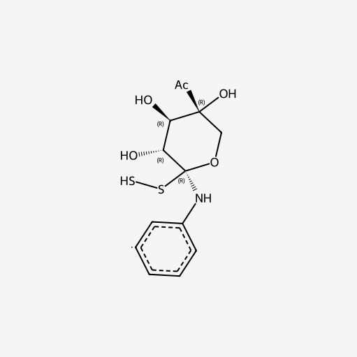 CC(=O)[C@@]1(O)CO[C@@](Nc2c[c]ccc2)(SS)[C@H](O)[C@H]1O